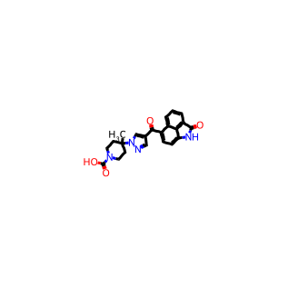 CC1(n2cc(C(=O)c3ccc4c5c(cccc35)C(=O)N4)cn2)CCN(C(=O)O)CC1